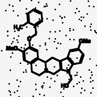 COc1ccc2c(c1)c1c(n2CO)CN2CCc3cc(OC)c(OCc4ccccc4C)cc3C2C1